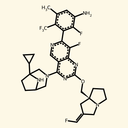 Cc1cc(N)c(F)c(-c2ncc3c(N4CC5CCC(C6CC6)(C4)N5)nc(OC[C@@]45CCCN4C/C(=C/F)C5)nc3c2F)c1C(F)(F)F